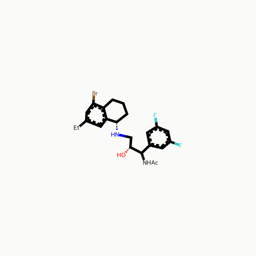 CCc1cc(Br)c2c(c1)[C@@H](NC[C@@H](O)C(NC(C)=O)c1cc(F)cc(F)c1)CCC2